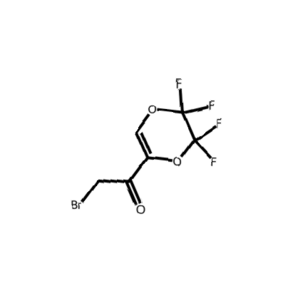 O=C(CBr)C1=COC(F)(F)C(F)(F)O1